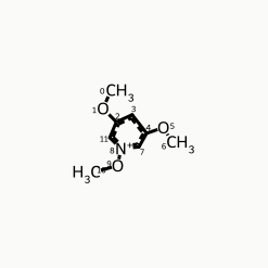 COc1cc(OC)c[n+](OC)c1